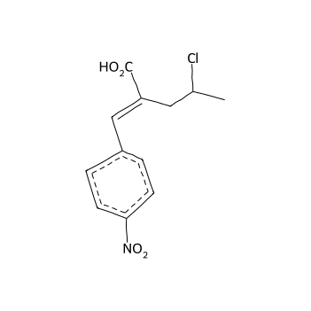 CC(Cl)CC(=Cc1ccc([N+](=O)[O-])cc1)C(=O)O